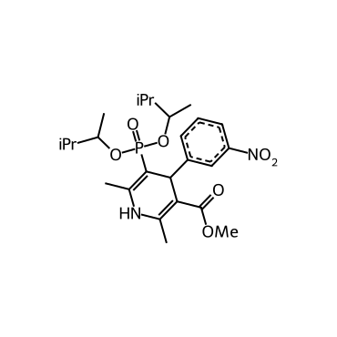 COC(=O)C1=C(C)NC(C)=C(P(=O)(OC(C)C(C)C)OC(C)C(C)C)C1c1cccc([N+](=O)[O-])c1